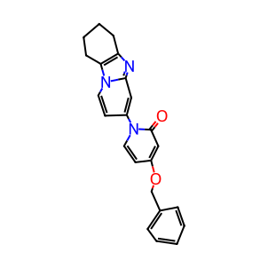 O=c1cc(OCc2ccccc2)ccn1-c1ccn2c3c(nc2c1)CCCC3